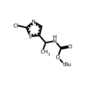 CC(NC(=O)OC(C)(C)C)c1cnc(Cl)s1